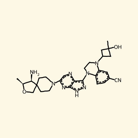 C[C@@H]1OCC2(CCN(c3cnc4c(N5CCN(C6CC(C)(O)C6)c6cc(C#N)ccc65)n[nH]c4n3)CC2)[C@@H]1N